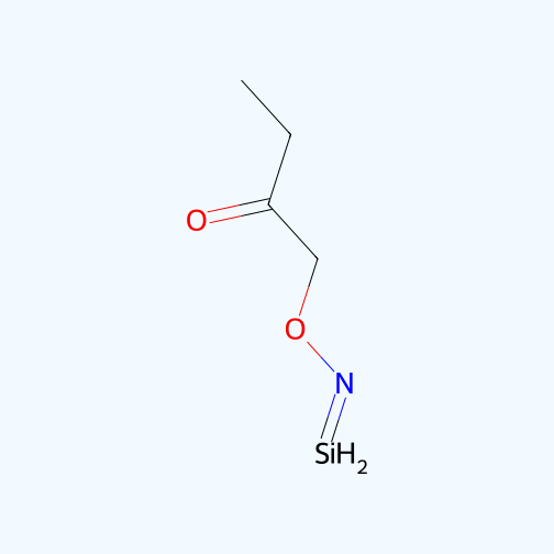 CCC(=O)CON=[SiH2]